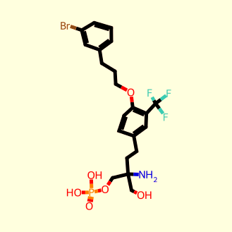 NC(CO)(CCc1ccc(OCCCc2cccc(Br)c2)c(C(F)(F)F)c1)COP(=O)(O)O